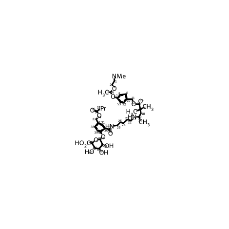 CNCCOC(C)Oc1ccc(COC(=O)C(C)(C)CC(C)NCCCCCNC(=O)c2cc(COC(=O)C(C)C)ccc2O[C@H]2O[C@H](C(=O)O)[C@@H](O)[C@H](O)[C@H]2O)cc1